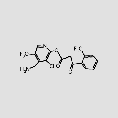 NCc1c(C(F)(F)F)cnc(OC(=O)CC(=O)c2ccccc2C(F)(F)F)c1Cl